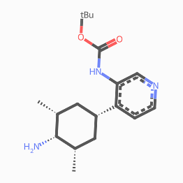 C[C@@H]1C[C@H](c2ccncc2NC(=O)OC(C)(C)C)C[C@H](C)[C@@H]1N